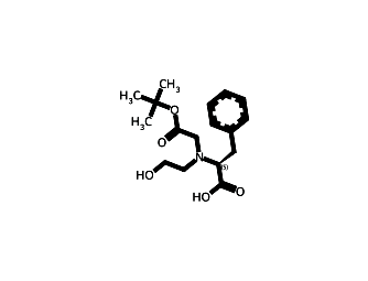 CC(C)(C)OC(=O)CN(CCO)[C@@H](Cc1ccccc1)C(=O)O